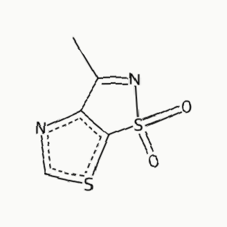 CC1=NS(=O)(=O)c2scnc21